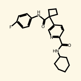 O=C(NC1CCCCC1)c1ccc(C2(C(=O)Nc3ccc(F)cc3)CCC2)cn1